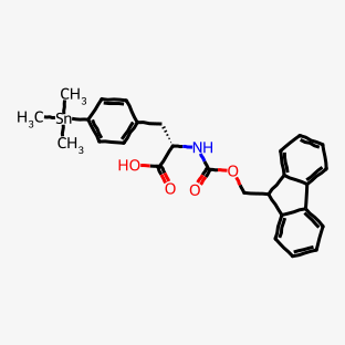 [CH3][Sn]([CH3])([CH3])[c]1ccc(C[C@H](NC(=O)OCC2c3ccccc3-c3ccccc32)C(=O)O)cc1